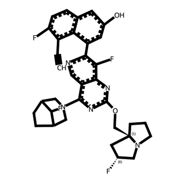 C#Cc1c(F)ccc2cc(O)cc(-c3ncc4c(N5CC6CCC(C5)C6F)nc(OC[C@@]56CCCN5C[C@H](F)C6)nc4c3F)c12